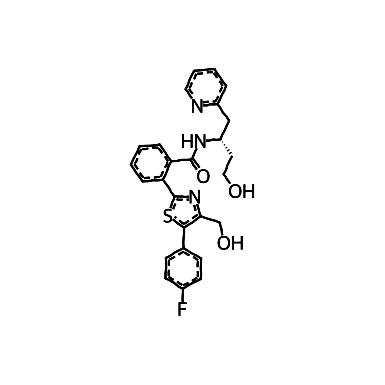 O=C(N[C@@H](CCO)Cc1ccccn1)c1ccccc1-c1nc(CO)c(-c2ccc(F)cc2)s1